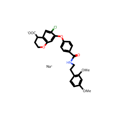 COc1ccc(CCNC(=O)c2ccc(Oc3cc4c(cc3Cl)C(C(=O)[O-])CCO4)cc2)c(OC)c1.[Na+]